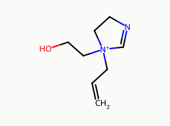 C=CC[N+]1(CCO)C=NCC1